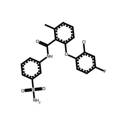 Cc1cccc(Oc2ccc(F)cc2Cl)c1C(=O)Nc1cccc(S(N)(=O)=O)c1